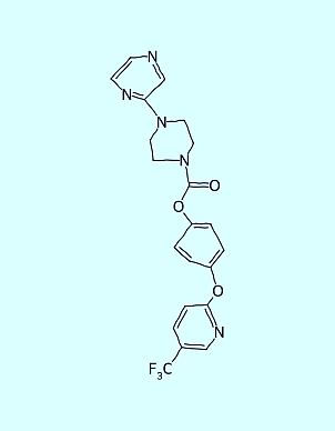 O=C(Oc1ccc(Oc2ccc(C(F)(F)F)cn2)cc1)N1CCN(c2cnccn2)CC1